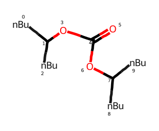 CCCCC(CCCC)OC(=O)OC(CCCC)CCCC